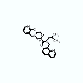 CC(C)CN(Cc1cccc2cccnc12)C(=O)[C@H]1CN(Cc2cccnc2Cl)CCO1